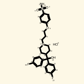 Cl.NS(=O)(=O)c1ccc(OCCCN2CCC(C(O)(c3ccc(F)cc3)c3ccc(F)cc3)CC2)cc1